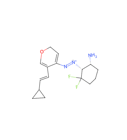 N[C@@H]1CCCC(F)(F)[C@@H]1[N+]=NC1=CCOC=C1/C=C/C1CC1